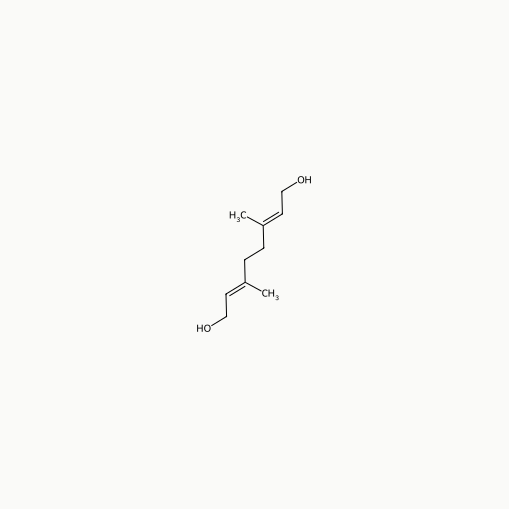 C/C(=C\CO)CC/C(C)=C/CO